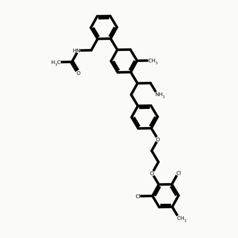 CC(=O)NCc1ccccc1C1C=CC(C(CN)Cc2ccc(OCCOc3c(Cl)cc(C)cc3Cl)cc2)=C(C)C1